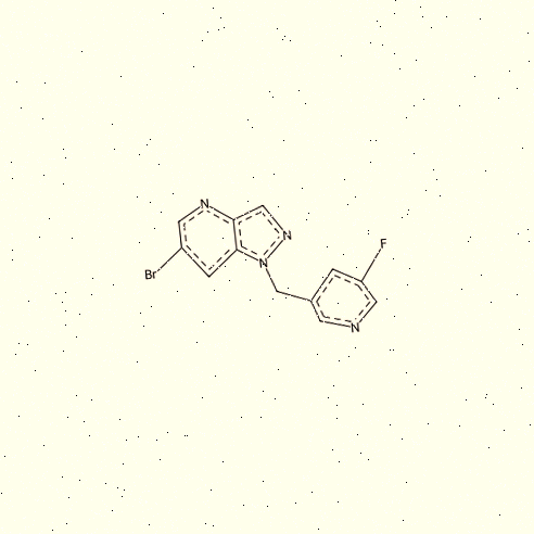 Fc1cncc(Cn2ncc3ncc(Br)cc32)c1